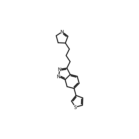 C1=NCCC1CCCC1=NN=C2CC(c3ccsc3)=CC=C12